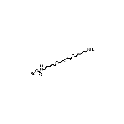 CC(C)(C)OC(=O)NCCCCCOCCOCCOCCCCCN